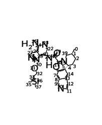 C[C@H]1CC[C@H](c2ccc3cnccc3c2)N(C(=O)C(=O)Nc2cnc(N)c3cnn(COCC[Si](C)(C)C)c23)C1